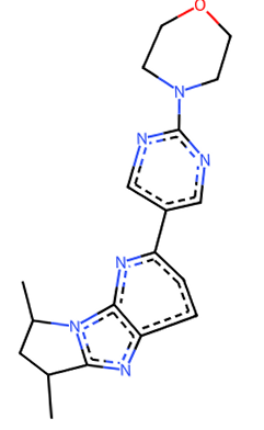 CC1CC(C)n2c1nc1ccc(-c3cnc(N4CCOCC4)nc3)nc12